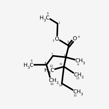 CCOC(=O)C(C)(CC(C)C)C(C)(C)CC